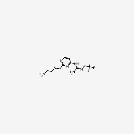 NCCSCc1nccc(N/C(N)=N\CC(F)(F)F)n1